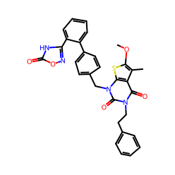 COc1sc2c(c1C)c(=O)n(CCc1ccccc1)c(=O)n2Cc1ccc(-c2ccccc2-c2noc(=O)[nH]2)cc1